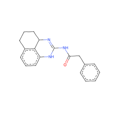 O=C(Cc1ccccc1)NC1=NC2CCCc3cccc(c32)N1